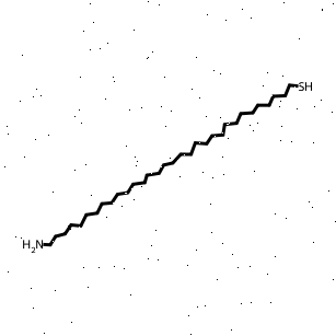 NCCCCCCCCCCCCCCCCCCCCCCCCCCCCCCCCS